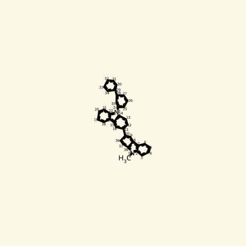 Cn1c2ccccc2c2cc(-c3ccc4c(c3)c3ccccc3n4-c3cccc(-c4ccccc4)c3)ccc21